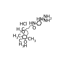 Cc1c(C)c2c(c(C)c1O)CCC(C)(CCCC(=O)Nc1cccc(NC(=N)N)c1)O2.Cl